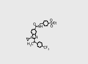 CCS(=O)(=O)c1ccc(CNC(=O)c2ccc3c(c2)nc([C@H](C)c2ccc(C(F)(F)F)cc2)n3C2CC2)cc1